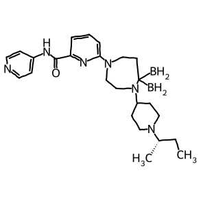 BC1(B)CCN(c2cccc(C(=O)Nc3ccncc3)n2)CCN1C1CCN([C@@H](C)CC)CC1